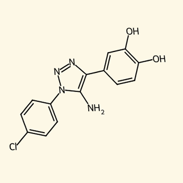 Nc1c(-c2ccc(O)c(O)c2)nnn1-c1ccc(Cl)cc1